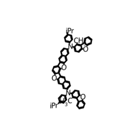 Cc1c(N(c2ccc(C(C)C)cc2)c2ccc3cc4c(cc3c2)oc2c4ccc3oc4cc5cc(N(c6ccc(C(C)C)cc6)c6ccc7oc8ccccc8c7c6C)ccc5cc4c32)ccc2oc3ccccc3c12